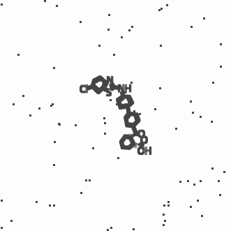 O=C(O)[C@@H]1CCCC[C@H]1C(=O)c1ccc(-c2ccc(Nc3nc4ccc(Cl)cc4s3)cc2)cc1